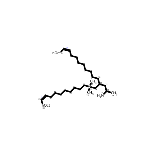 CCCCCCCC/C=C\CCCCCCCCC(CC(C)N)C[N+](C)(C)CCCCCCCC/C=C\CCCCCCCC